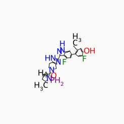 CCc1cc(O)c(F)cc1-c1cc(F)c2c(-c3nc4c([nH]3)CCN(C(=O)[C@]35C[C@H]3CC(C)N5P)C4)n[nH]c2c1